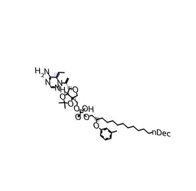 C=C([C@@H]1OC[C@]2(COP(=O)(O)OC[C@@H](CCCCCCCCCCCCCCCCCCCC)Oc3cccc(C)c3)OC(C)(C)O[C@@H]12)N1N=CN=C(N)/C1=C/C